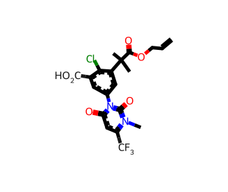 C=CCOC(=O)C(C)(C)c1cc(-n2c(=O)cc(C(F)(F)F)n(C)c2=O)cc(C(=O)O)c1Cl